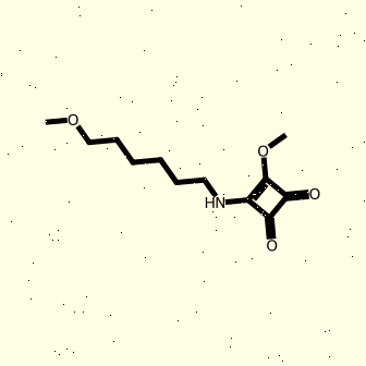 COCCCCCCNc1c(OC)c(=O)c1=O